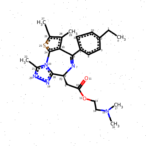 CCc1ccc(C2=N[C@@H](CC(=O)OCCN(C)C)c3nnc(C)n3-c3sc(C)c(C)c32)cc1